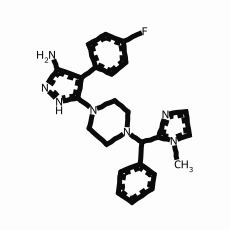 Cn1ccnc1C(c1ccccc1)N1CCN(c2[nH]nc(N)c2-c2ccc(F)cc2)CC1